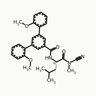 COc1ccccc1-c1cc(C(=O)N[C@@H](CC(C)C)C(=O)N(C)C#N)cc(-c2ccccc2OC)c1